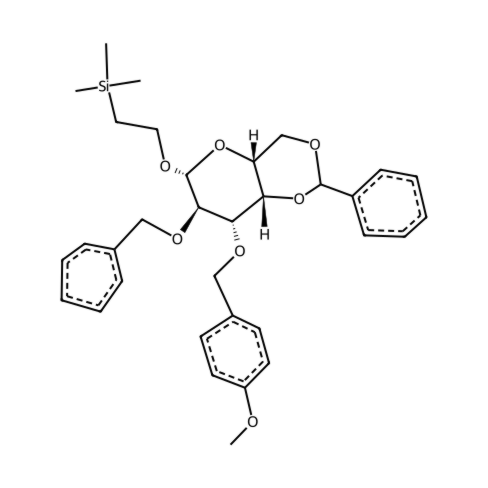 COc1ccc(CO[C@H]2[C@H]3OC(c4ccccc4)OC[C@H]3O[C@@H](OCC[Si](C)(C)C)[C@@H]2OCc2ccccc2)cc1